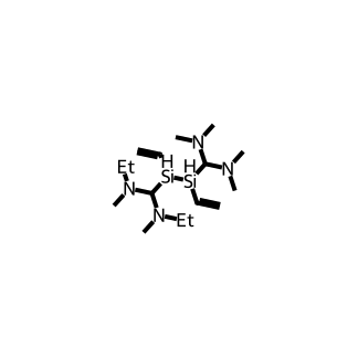 C=C[SiH](C(N(C)C)N(C)C)[SiH](C=C)C(N(C)CC)N(C)CC